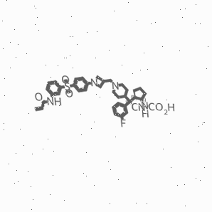 C=CC(=O)Nc1cccc(S(=O)(=O)c2ccc(N3CC(CN4CCC([C@](C#N)(c5cccc(F)c5)[C@H]5CCC[C@@H]5NC(=O)O)CC4)C3)cc2)c1